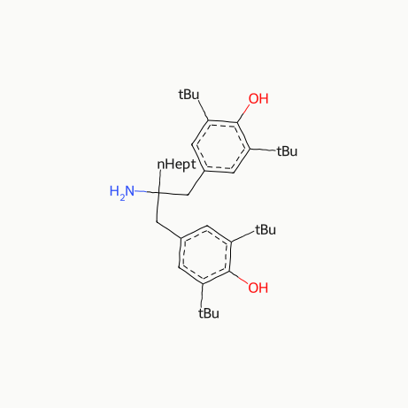 CCCCCCCC(N)(Cc1cc(C(C)(C)C)c(O)c(C(C)(C)C)c1)Cc1cc(C(C)(C)C)c(O)c(C(C)(C)C)c1